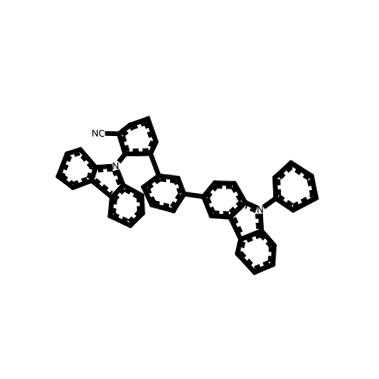 N#Cc1cccc(-c2cccc(-c3ccc4c(c3)c3ccccc3n4-c3ccccc3)c2)c1-n1c2ccccc2c2ccccc21